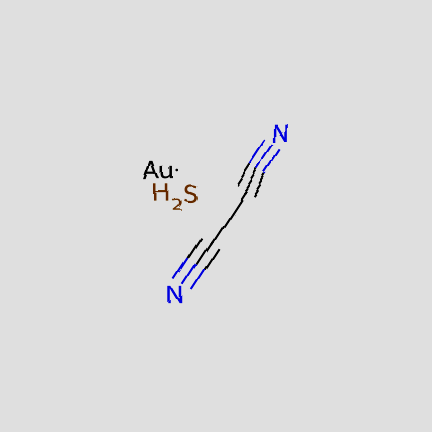 N#CC#N.S.[Au]